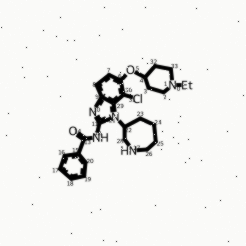 CCN1CCC(Oc2ccc3nc(NC(=O)c4ccccc4)n(C4CCCCNC4)c3c2Cl)CC1